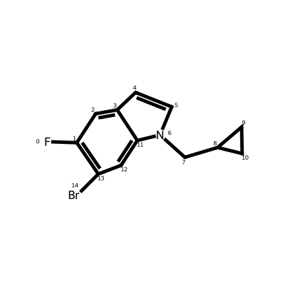 Fc1cc2ccn(CC3CC3)c2cc1Br